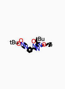 CC(C)(C)OC(=O)N1CCN(c2cccc(-c3cnc4c(n3)c(C(=O)C(C)(C)C)cn4COCC[Si](C)(C)C)c2)CC1